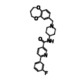 O=C(NC1CCN(Cc2ccc3c(c2)OCCCO3)CC1)c1ccc(-c2cccc(F)c2)nc1